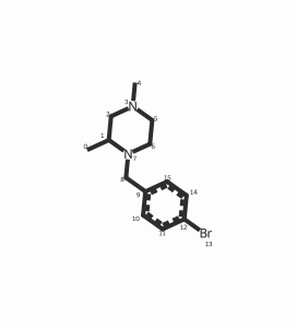 CC1CN(C)CCN1Cc1ccc(Br)cc1